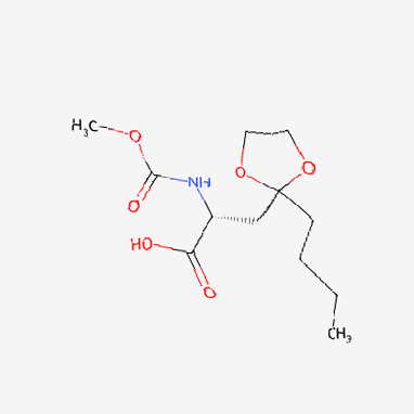 CCCCC1(C[C@@H](NC(=O)OC)C(=O)O)OCCO1